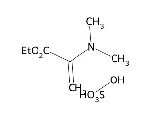 C=C(C(=O)OCC)N(C)C.O=S(=O)(O)O